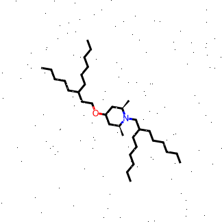 CCCCCCC(CCCCC)CCOC1C[C@@H](C)N(CC(CCCCCC)CCCCCC)[C@@H](C)C1